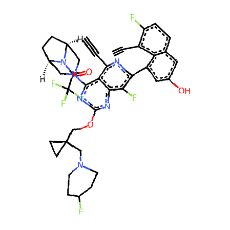 C#Cc1c(F)ccc2cc(O)cc(-c3nc(C#C)c4c(N5C[C@H]6CC[C@@H](C5)N6C(=O)C(F)(F)F)nc(OCC5(CN6CCC(F)CC6)CC5)nc4c3F)c12